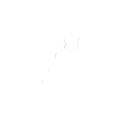 O=C(O)CSSOC(=O)c1ccccc1